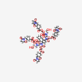 O=C1c2c(O)ccc(O)c2C(=O)c2c(N(CCN(CCO)C(=O)OCOC(=O)C3CCC(CN4C(=O)C=CC4=O)CC3)C(=O)OCOC(=O)C3CCC(CN4C(=O)C=CC4=O)CC3)ccc(N(CCN(CCO)C(=O)OCOC(=O)C3CCC(CN4C(=O)C=CC4=O)CC3)C(=O)OCOC(=O)C3CCC(CN4C(=O)C=CC4=O)CC3)c21